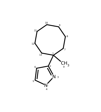 CC1(C2=N[N]C=C2)CCCCCCC1